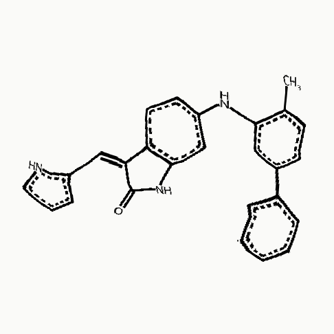 Cc1ccc(-c2c[c]ccc2)cc1Nc1ccc2c(c1)NC(=O)C2=Cc1ccc[nH]1